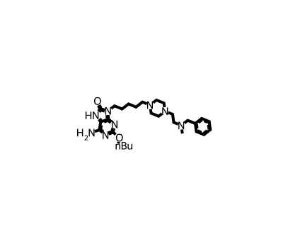 CCCCOc1nc(N)c2[nH]c(=O)n(CCCCCN3CCN(CCN(C)Cc4ccccc4)CC3)c2n1